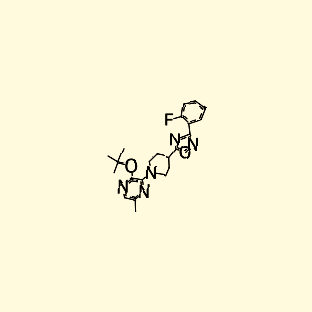 Cc1cnc(OC(C)(C)C)c(N2CCC(c3nc(-c4ccccc4F)no3)CC2)n1